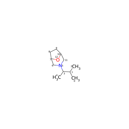 CC(C)C(C)N1CC2CCC(C1)O2